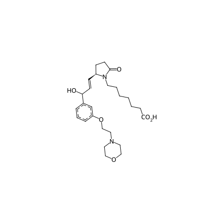 O=C(O)CCCCCCN1C(=O)CC[C@@H]1C=CC(O)c1cccc(OCCN2CCOCC2)c1